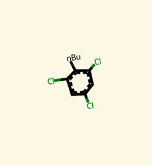 [CH2]CCCc1c(Cl)cc(Cl)cc1Cl